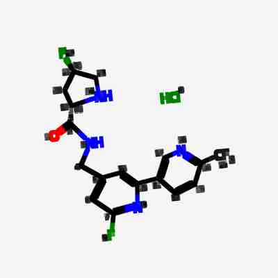 Cl.O=C(NCc1cc(F)nc(-c2ccc(C(F)(F)F)nc2)c1)[C@@H]1C[C@@H](F)CN1